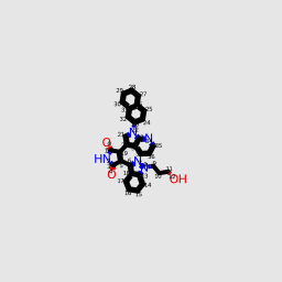 O=C1NC(=O)C(c2nn(CCCO)c3ccccc23)=C1c1cn(-c2ccc3ccccc3c2)c2ncccc12